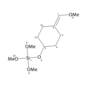 COC=C1CCC(O[Si](OC)(OC)OC)CC1